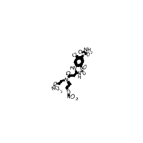 NS(=O)(=O)c1cc2c(cc1Cl)NC(CC(=O)N(CCO[N+](=O)[O-])CCO[N+](=O)[O-])NS2(=O)=O